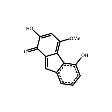 COC1=C2C(=Cc3cccc(O)c32)C(=O)C(O)=C1